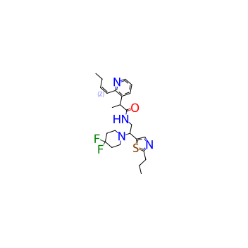 CC/C=C\c1ncccc1C(C)C(=O)NCC(c1cnc(CCC)s1)N1CCC(F)(F)CC1